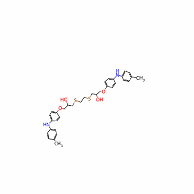 Cc1ccc(Nc2ccc(OCC(O)CSCCSCC(O)COc3ccc(Nc4ccc(C)cc4)cc3)cc2)cc1